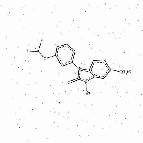 CCOC(=O)c1cc2c(cn1)n(-c1cccc(OC(F)F)c1)c(=O)n2C(C)C